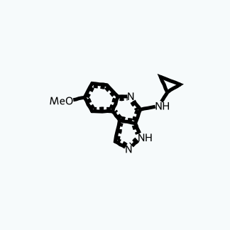 COc1ccc2nc(NC3CC3)c3[nH]ncc3c2c1